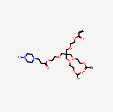 C=CC(=O)OCCOCC(COCCOC(=O)CC)(COCCOC(=O)CC)COCCOC(=O)CCN1CCN(C(C)=O)CC1